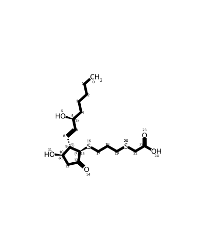 CCCCC[C@H](O)C=C[C@H]1[C@H](O)CC(=O)[C@@H]1SCCCSCC(=O)O